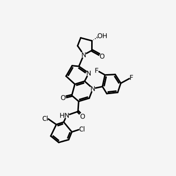 O=C(Nc1c(Cl)cccc1Cl)c1cn(-c2ccc(F)cc2F)c2nc(N3CC[C@H](O)C3=O)ccc2c1=O